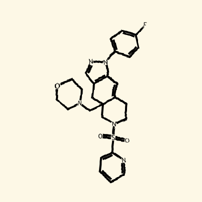 O=S(=O)(c1ccccn1)N1CCC2=Cc3c(cnn3-c3ccc(F)cc3)CC2(CN2CCOCC2)C1